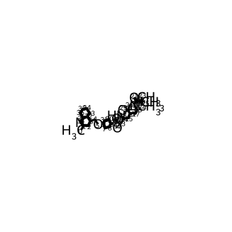 Cc1cc(COc2ccc(S(=O)(=O)CC(C=C3CCN(C(=O)C(C)(C)C)CC3)NO)cc2)c2ccccc2n1